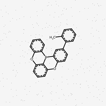 Cc1ccccc1-c1ccc2c(c1)B1c3ccccc3Oc3cccc(c31)O2